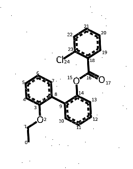 CCOc1ccccc1-c1ccccc1OC(=O)c1ccccc1Cl